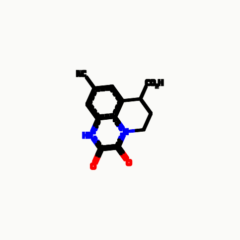 N#Cc1cc2c3c(c1)[nH]c(=O)c(=O)n3CCC2C(=O)O